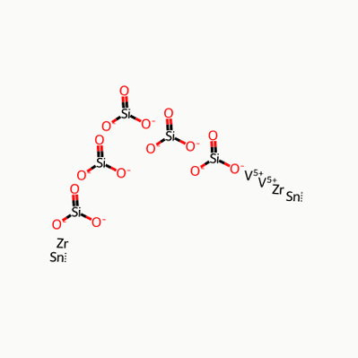 O=[Si]([O-])[O-].O=[Si]([O-])[O-].O=[Si]([O-])[O-].O=[Si]([O-])[O-].O=[Si]([O-])[O-].[Sn].[Sn].[V+5].[V+5].[Zr].[Zr]